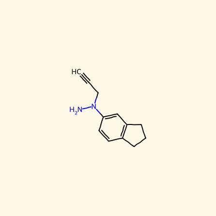 C#CCN(N)c1ccc2c(c1)CCC2